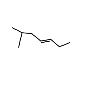 CCC=CCC(C)C